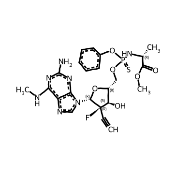 C#C[C@@]1(F)[C@H](O)[C@@H](COP(=S)(N[C@H](C)C(=O)OC)Oc2ccccc2)O[C@H]1n1cnc2c(NC)nc(N)nc21